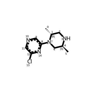 C[C@@H]1CN[C@@H](C)CN1c1cncc(Cl)n1